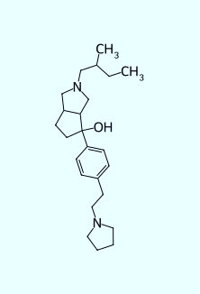 CCC(C)CN1CC2CCC(O)(c3ccc(CCN4CCCC4)cc3)C2C1